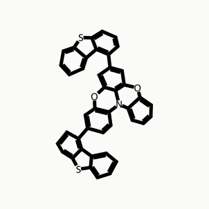 c1ccc2c(c1)Oc1cc(-c3cccc4sc5ccccc5c34)cc3c1N2c1ccc(-c2cccc4sc5ccccc5c24)cc1O3